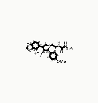 CCCNC(=O)NCCN1CC(c2ccc3c(c2)OCO3)[C@H](C(=O)O)[C@H]1c1ccc(OC)cc1